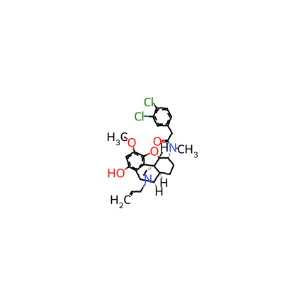 C=CCN1CC[C@]23c4c5c(O)cc(OC)c4O[C@@H]2[C@H](N(C)C(=O)Cc2ccc(Cl)c(Cl)c2)CC[C@H]3[C@H]1C5